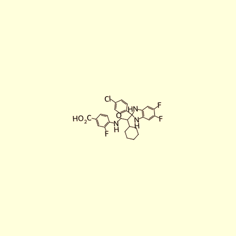 O=C(O)c1ccc(NC(=O)C(C2CCCCC2)C2(c3ccc(Cl)cc3)Nc3cc(F)c(F)cc3N2)c(F)c1